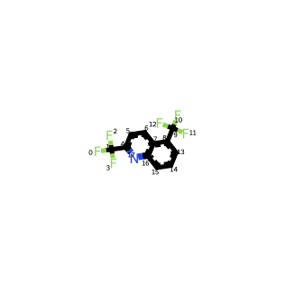 FC(F)(F)c1ccc2c(C(F)(F)F)cccc2n1